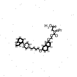 CCCN(CC(C)I)C(=O)OCOc1ccc2ccc(OCCCCN3CCN(c4cccc5sccc45)CC3)cc2n1